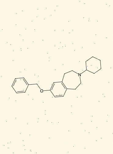 c1ccc(COc2ccc3c(c2)CCN(C2CCCCC2)CC3)cc1